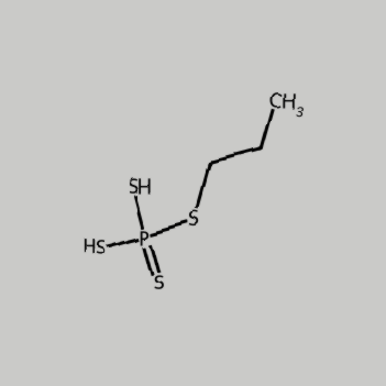 CCCSP(=S)(S)S